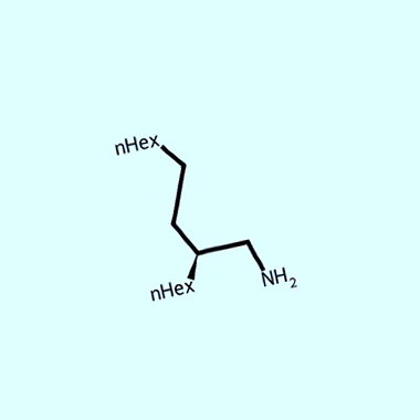 CCCCCCCC[C@@H](CN)CCCCCC